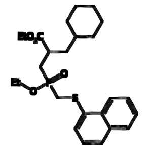 CCOC(=O)C(CC1CCCCC1)CP(=O)(CSc1cccc2ccccc12)OCC